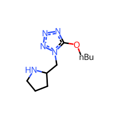 CCCCOc1nnnn1CC1CCCN1